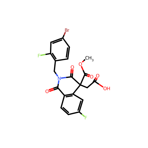 COC(=O)C1(CC(=O)O)C(=O)N(Cc2ccc(Br)cc2F)C(=O)c2ccc(F)cc21